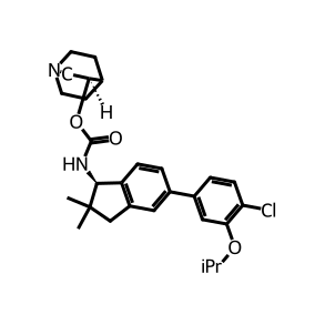 CC(C)Oc1cc(-c2ccc3c(c2)CC(C)(C)[C@H]3NC(=O)O[C@H]2CN3CCC2CC3)ccc1Cl